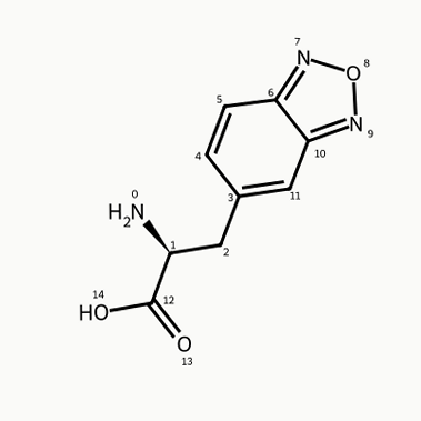 N[C@@H](Cc1ccc2nonc2c1)C(=O)O